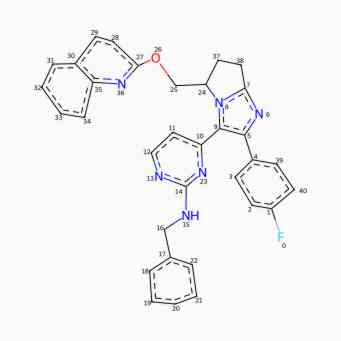 Fc1ccc(-c2nc3n(c2-c2ccnc(NCc4ccccc4)n2)C(COc2ccc4ccccc4n2)CC3)cc1